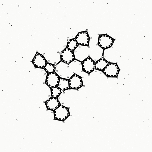 c1ccc(-n2c3ccccc3c3ccc(-c4nc(-n5c6ccccc6c6cc7c8ccc9ccccc9c8n8c9ccccc9c(c65)c78)nc5oc6ccccc6c45)cc32)cc1